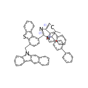 CC1C/C=C(c2ccc3ccccc3c2)/N=C(c2ccc(Cn3c4ccccc4c4cc5ccccc5cc43)c3sc4ccccc4c23)\N=C/1c1ccc(-c2ccccc2)cc1